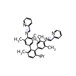 Cc1cc(-c2c(C)ccc(C(C)C)c2-c2cc(C)c(/N=C/c3ccccn3)c(C)c2)cc(C)c1/N=C/c1ccccn1